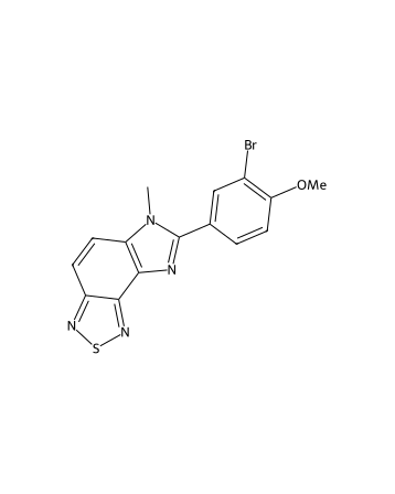 COc1ccc(-c2nc3c4nsnc4ccc3n2C)cc1Br